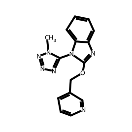 Cn1nnnc1-n1c(OCc2cccnc2)nc2ccccc21